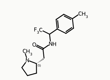 Cc1ccc(C(NC(=O)C[C@@H]2CCCN2C)C(F)(F)F)cc1